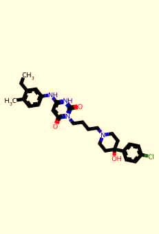 CCc1cc(Nc2cc(=O)n(CCCCN3CCC(O)(c4ccc(Cl)cc4)CC3)c(=O)[nH]2)ccc1C